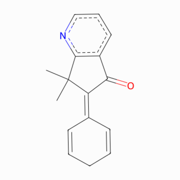 CC1(C)C(=C2C=CCC=C2)C(=O)c2cccnc21